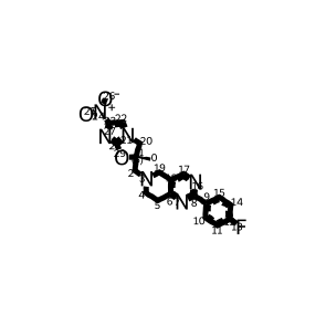 C[C@]1(CN2CCc3nc(-c4ccc(F)cc4)ncc3C2)Cn2cc([N+](=O)[O-])nc2O1